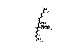 C=CCCCCCCCCCCCC.CN(C)C.Cl